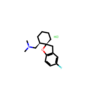 CN(C)C[C@H]1CCCC[C@]12Cc1cc(F)ccc1O2.Cl